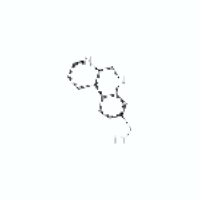 CC(C)Cc1ccc2c(c1)ncc1ncccc12